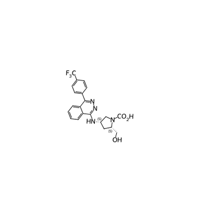 O=C(O)N1C[C@@H](Nc2nnc(-c3ccc(C(F)(F)F)cc3)c3ccccc23)C[C@H]1CO